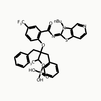 CCCCn1c(=NC(=O)c2cc(C(F)(F)F)ccc2OC(Cc2ccccc2)(Cc2ccccc2)C(C)OP(=O)(O)O)sc2ccncc21